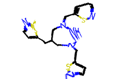 c1cc(CC2CN(Cc3ccns3)NN(Cc3ccns3)C2)sn1